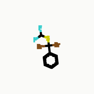 FC(F)SC(Br)(Br)c1ccccc1